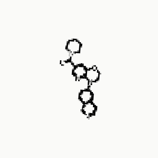 O=C(c1cnc2c(c1)OCCN2c1ccc2cnccc2c1)N1CCCCC1